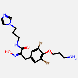 NCCCOc1c(Br)cc(C/C(=N/O)C(=O)NCCCn2ccnc2)cc1Br